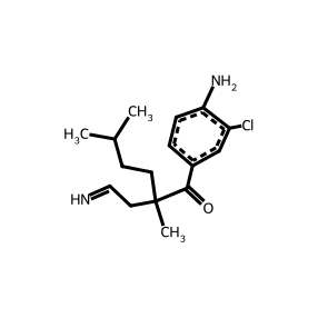 CC(C)CCC(C)(CC=N)C(=O)c1ccc(N)c(Cl)c1